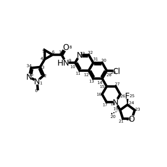 Cn1cc(C2CC2C(=O)Nc2cc3cc(C4CCN([C@]5(C)COC[C@@H]5F)CC4)c(Cl)cc3cn2)cn1